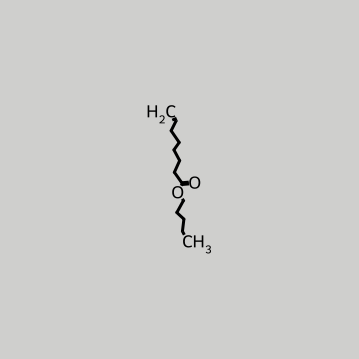 C=CCCCCCC(=O)OCCCCC